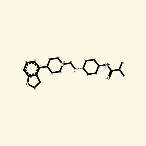 CC(C)C(=O)N[C@H]1CC[C@H](CCN2CCC(c3cccc4c3CCO4)CC2)CC1